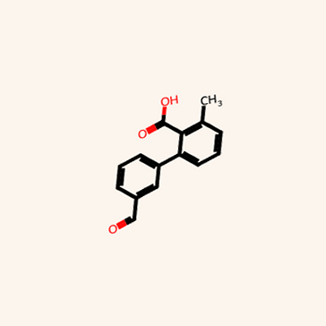 Cc1cccc(-c2cccc(C=O)c2)c1C(=O)O